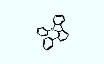 [c]1ccc(-c2cccc3c4ccccc4n(-c4ccccc4)c23)cc1